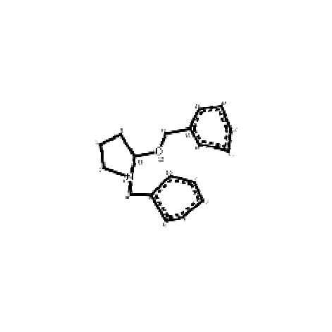 [CH]1CCN(Cc2ccccc2)C1OCc1ccccc1